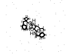 CCCC[C@H](NC(=O)OCC1(Cc2ccccc2)CCC1)C(O)C(=O)N[C@H](C)c1ccccc1